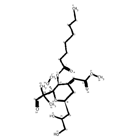 CCCCCCCC(=O)O[C@H]1/C(=C/C(=O)OC)C[C@@H](CC(O)CO)O[C@@]1(OC)C(C)(C)C=O